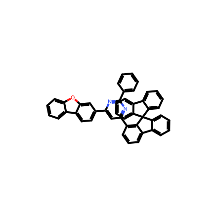 c1ccc(-c2nc(-c3ccc4c(c3)oc3ccccc34)cc(-c3cccc4c3C3(c5ccccc5-c5ccccc53)c3ccccc3-4)n2)cc1